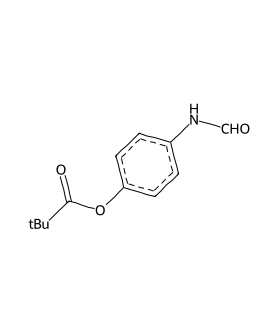 CC(C)(C)C(=O)Oc1ccc(NC=O)cc1